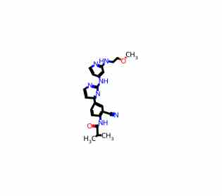 COCCNc1cc(Nc2nccc(-c3ccc(NC(=O)C(C)C)c(C#N)c3)n2)ccn1